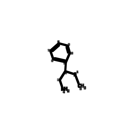 CSC(CN)c1ccccc1